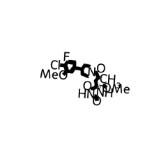 COC[C@]1(CC(C)C(=O)N2CCC(c3cc(F)c(Cl)c(OC)c3)CC2)NC(=O)NC1=O